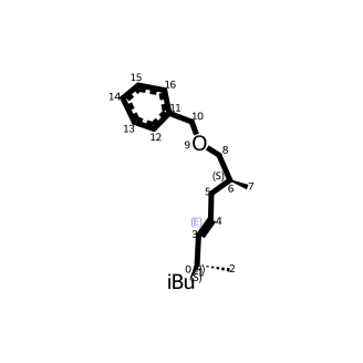 CC[C@H](C)[C@@H](C)/C=C/C[C@H](C)COCc1ccccc1